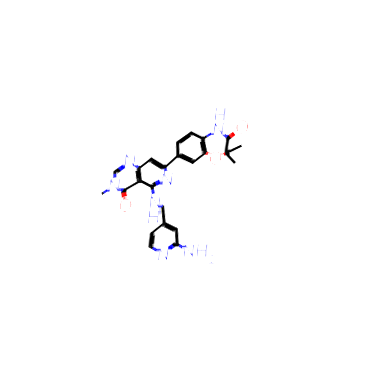 Cn1cnc2cc(-c3ccc4c(c3)OC(C)(C)C(=O)N4)nc(NCc3ccnc(N)c3)c2c1=O